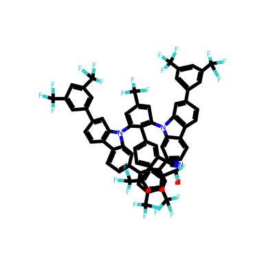 N#Cc1cccc(-c2c(-n3c4cc(-c5cc(C(F)(F)F)cc(C(F)(F)F)c5)ccc4c4ccc(-c5cc(C(F)(F)F)cc(C(F)(F)F)c5)cc43)cc(C(F)(F)F)cc2-n2c3cc(-c4cc(C(F)(F)F)cc(C(F)(F)F)c4)ccc3c3ccc(-c4cc(C(F)(F)F)cc(C(F)(F)F)c4)cc32)c1